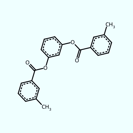 Cc1cccc(C(=O)Oc2cccc(OC(=O)c3cccc(C)c3)c2)c1